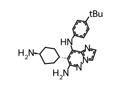 CC(C)(C)c1ccc(Nc2c3nccn3nc(N)c2[C@H]2CC[C@H](N)CC2)cc1